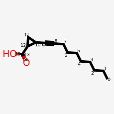 CCCCCCCCC#CC1CC1C(=O)O